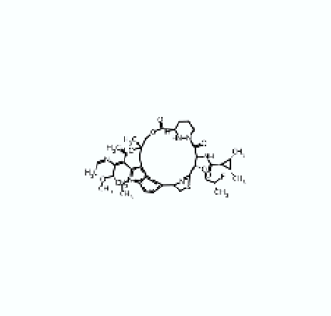 C=C/C(=C(\N=C/C)[C@H](C)OC)c1c2c3cc(ccc3n1CC)C1CSC(=N1)[C@@H](OC[C@@H](C)F)[C@H](NC(=O)[C@H]1[C@H](C)[C@@H]1C)C(=O)N1CCC[C@H](N1)C(=O)OCC(C)(C)C2